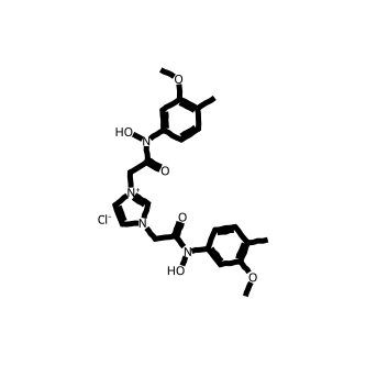 COc1cc(N(O)C(=O)Cn2cc[n+](CC(=O)N(O)c3ccc(C)c(OC)c3)c2)ccc1C.[Cl-]